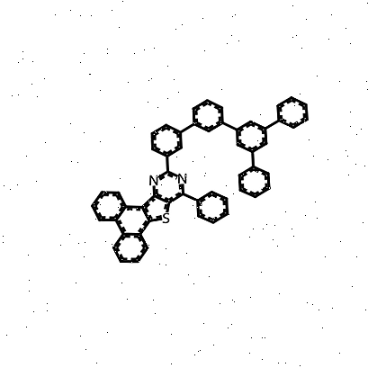 c1ccc(-c2cc(-c3ccccc3)cc(-c3cccc(-c4cccc(-c5nc(-c6ccccc6)c6sc7c8ccccc8c8ccccc8c7c6n5)c4)c3)c2)cc1